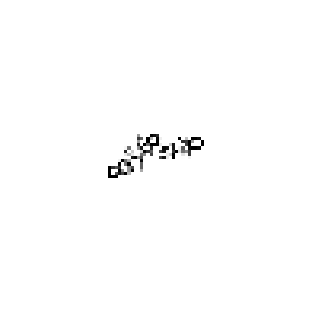 Cn1c(CNC(=O)c2cccc3[nH]c(NC(=O)c4cc5ccccc5cn4)nc23)nc2ccccc21